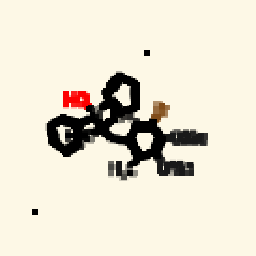 COc1c(Br)cc(CC(C)(C)[Si](O)(c2ccccc2)c2ccccc2)c(C)c1OC